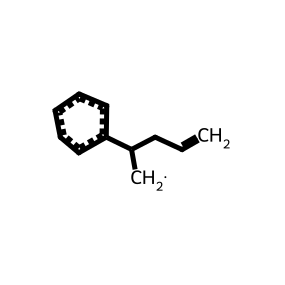 [CH2]C(CC=C)c1ccccc1